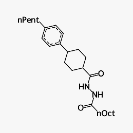 CCCCCCCCC(=O)NNC(=O)C1CCC(c2ccc(CCCCC)cc2)CC1